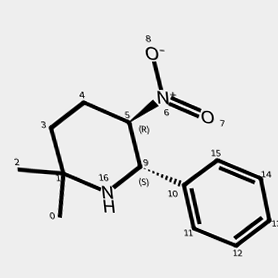 CC1(C)CC[C@@H]([N+](=O)[O-])[C@H](c2ccccc2)N1